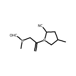 C=C(CN(C)C=O)N1CC(C)CC1C#N